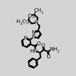 C[C@H]1CN(Cc2ccn(-c3ncccc3C(=O)NC(Cc3ccccc3)C(=O)C(N)=O)n2)C[C@H](C)O1